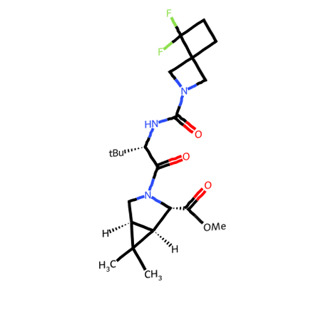 COC(=O)[C@@H]1[C@@H]2[C@H](CN1C(=O)[C@@H](NC(=O)N1CC3(CCC3(F)F)C1)C(C)(C)C)C2(C)C